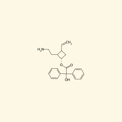 C=CC1C[C@H](OC(=O)C(O)(c2ccccc2)c2ccccc2)C1CCN